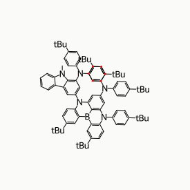 Cn1c2ccccc2c2cc(N3c4ccc(C(C)(C)C)cc4B4c5cc(C(C)(C)C)ccc5N(c5ccc(C(C)(C)C)cc5)c5cc(N(c6ccc(C(C)(C)C)cc6)c6ccc(C(C)(C)C)cc6)cc3c54)cc(N(c3ccc(C(C)(C)C)cc3)c3ccc(C(C)(C)C)cc3)c21